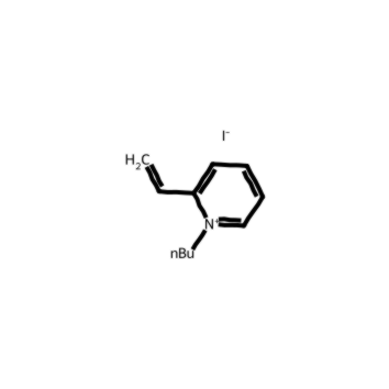 C=Cc1cccc[n+]1CCCC.[I-]